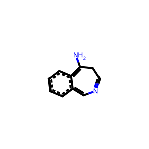 NC1=c2ccccc2=CN=CC1